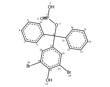 O=[PH](O)OC(c1ccccc1)(c1ccccc1)c1cc(Br)c(O)c(Br)c1